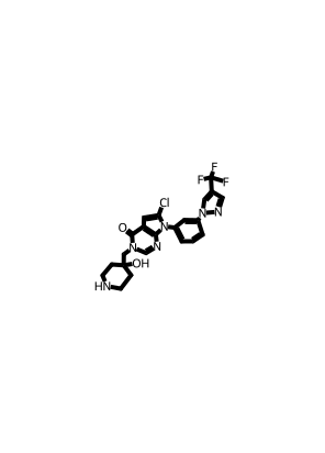 O=c1c2cc(Cl)n(-c3cccc(-n4cc(C(F)(F)F)cn4)c3)c2ncn1CC1(O)CCNCC1